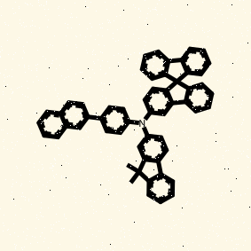 CC1(C)c2ccccc2-c2ccc(N(c3ccc(-c4ccc5ccccc5c4)cc3)c3ccc4c(c3)-c3ccccc3C43c4ccccc4-c4ccccc43)cc21